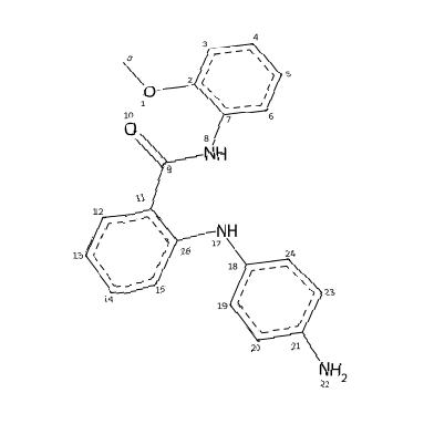 COc1ccccc1NC(=O)c1ccccc1Nc1ccc(N)cc1